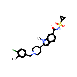 Cn1c(C2CCN(Cc3ccc(Cl)c(C(F)(F)F)c3)CC2)cc2ccc(C(=O)NS(=O)(=O)C3CC3)cc21